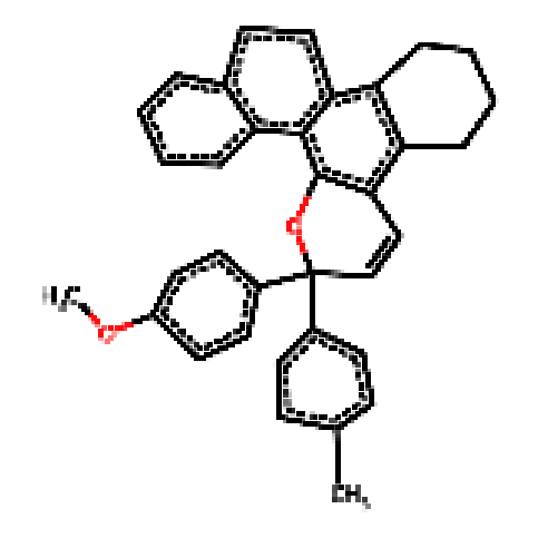 COc1ccc(C2(c3ccc(C)cc3)C=Cc3c4c(c5ccc6ccccc6c5c3O2)CCCC4)cc1